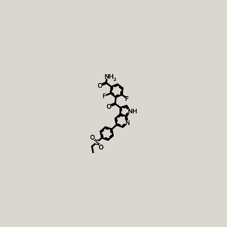 CCS(=O)(=O)c1ccc(-c2cnc3[nH]cc(C(=O)c4c(F)ccc(C(N)=O)c4F)c3c2)cc1